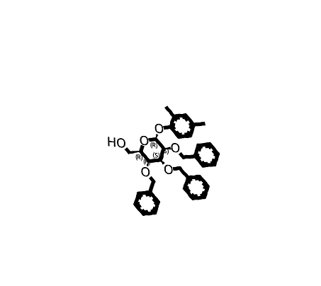 Cc1ccc(O[C@H]2O[C@H](CO)[C@@H](OCc3ccccc3)[C@H](OCc3ccccc3)[C@@H]2OCc2ccccc2)c(C)c1